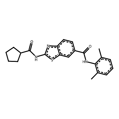 Cc1cccc(C)c1NC(=O)c1ccc2nc(NC(=O)C3CCCC3)sc2c1